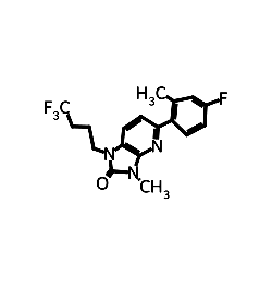 Cc1cc(F)ccc1-c1ccc2c(n1)n(C)c(=O)n2CCCC(F)(F)F